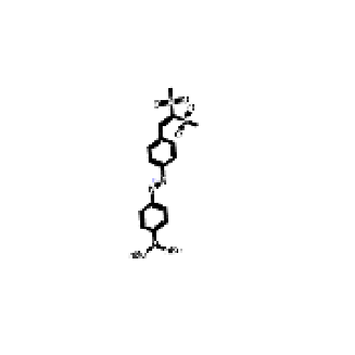 CCCCN(CCCC)c1ccc(/N=N/c2ccc(C=C(S(C)(=O)=O)S(C)(=O)=O)cc2)cc1